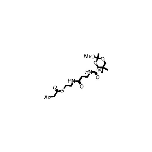 COC1(C)OCC(C)(C)[C@H](C(=O)NCCC(=O)NCCSC(=O)CC(C)=O)O1